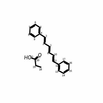 C(=CC=Cc1ccccc1)C=Cc1ccccc1.CCC(=O)O